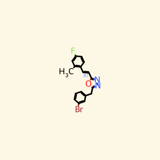 Cc1cc(F)ccc1/C=C/c1nnc(Cc2cccc(Br)c2)o1